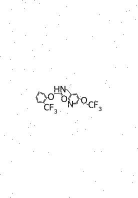 C[C@@H](NC(=O)COc1ccccc1C(F)(F)F)c1cncc(OCC(F)(F)F)c1